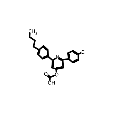 CCCCc1ccc(-c2cc(OC(=O)O)cc(-c3ccc(Cl)cc3)n2)cc1